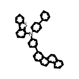 c1ccc(-c2ccc(N(c3ccc(-c4ccc5ccc6c7ccccc7ccc6c5c4)cc3)c3cccc4c3sc3ccccc34)cc2)cc1